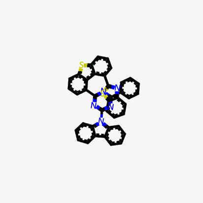 c1ccc(-c2nc(-c3cccc4sc5cccc(-c6nc7ccccc7s6)c5c34)nc(-n3c4ccccc4c4ccccc43)n2)cc1